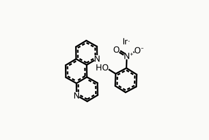 O=[N+]([O-])c1ccccc1O.[Ir].c1cnc2c(c1)ccc1ncccc12